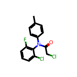 Cc1ccc(N(C(=O)CCl)c2c(F)cccc2Cl)cc1